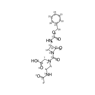 CC(=O)NCCN(CC(=O)O)C(=O)N1C[C@H](NC(=O)OCc2ccccc2)C1=O